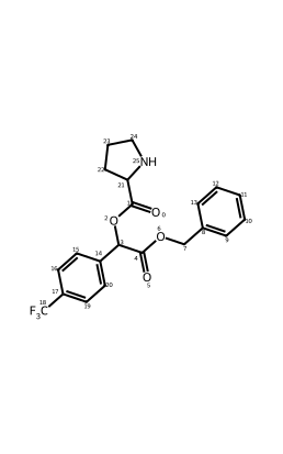 O=C(OC(C(=O)OCc1ccccc1)c1ccc(C(F)(F)F)cc1)C1CCCN1